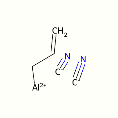 C=C[CH2][Al+2].[C-]#N.[C-]#N